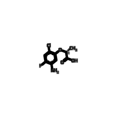 C[C@@H](Oc1cc(N)c(F)cc1Cl)C(=O)O